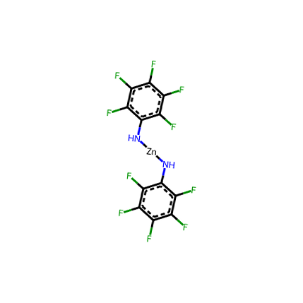 Fc1c(F)c(F)c([NH][Zn][NH]c2c(F)c(F)c(F)c(F)c2F)c(F)c1F